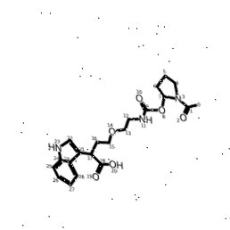 CC(=O)N1CCCC1OC(=O)NCCOCCC(C(=O)O)c1c[nH]c2ccccc12